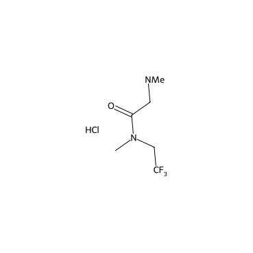 CNCC(=O)N(C)CC(F)(F)F.Cl